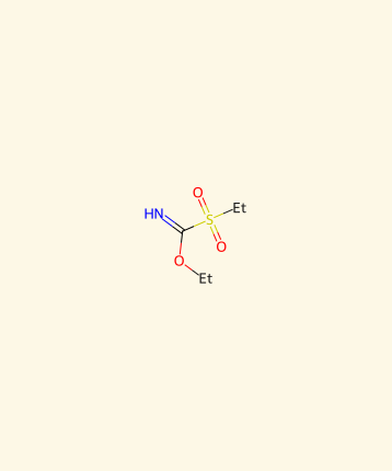 CCOC(=N)S(=O)(=O)CC